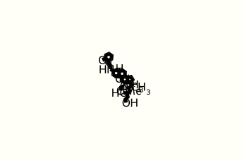 COCO[C@H]1CC2C(CC[C@H]3CC(NCCN4CCCCC4=O)CCC23C)C2CCC([C@H](C)CCC(O)CCO)C21C